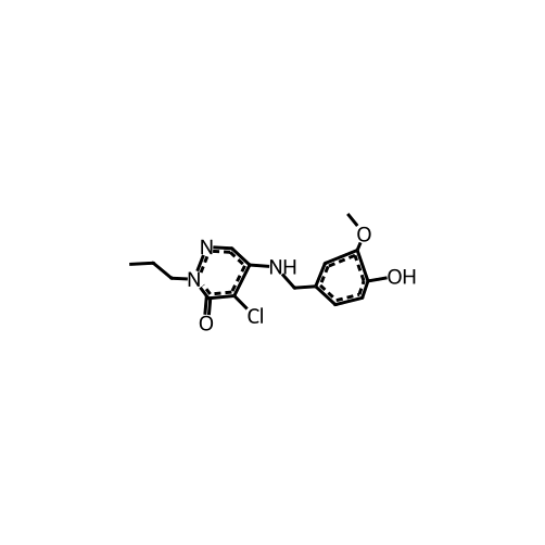 CCCn1ncc(NCc2ccc(O)c(OC)c2)c(Cl)c1=O